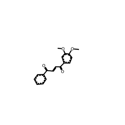 COc1ccc(C(=O)/C=C/C(=O)c2ccccc2)cc1OC